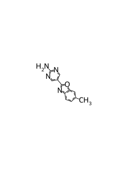 Cc1ccc2nc(-c3cnc(N)nc3)oc2c1